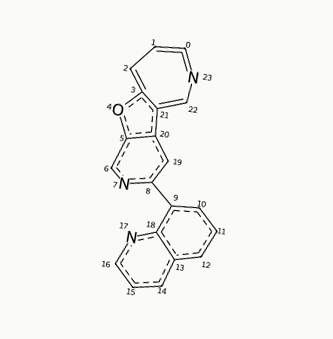 C1=CC=c2oc3cnc(-c4cccc5cccnc45)cc3c2=CN=1